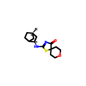 O=C1N=C(N[C@H]2C[C@@H]3CCC2C3)SC12CCOCC2